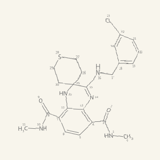 CNC(=O)c1ccc(C(=O)NC)c2c1N=C(NCc1cccc(Cl)c1)C1(CCSCC1)N2